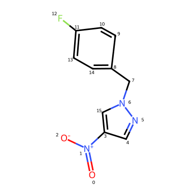 O=[N+]([O-])c1cnn(Cc2ccc(F)cc2)c1